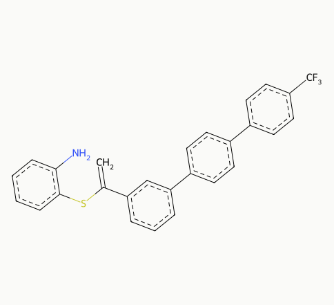 C=C(Sc1ccccc1N)c1cccc(-c2ccc(-c3ccc(C(F)(F)F)cc3)cc2)c1